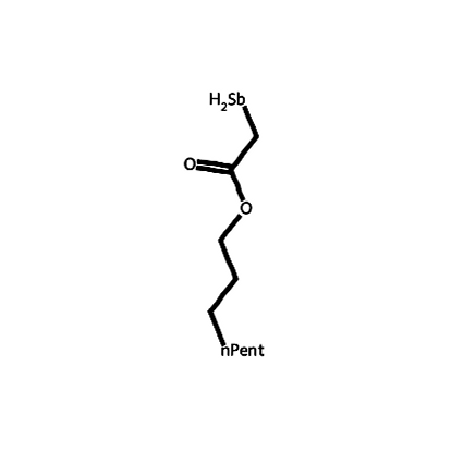 CCCCCCCCOC(=O)[CH2][SbH2]